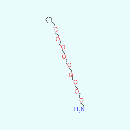 NCCOCCOCCOCCOCCOCCOCCOCCOCCOCCC1CCCC1